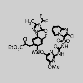 CCOC(=O)C(Cl)Cc1cc(-n2nc(C)n(C(F)F)c2=O)c(F)cc1Cl.COc1cc(OC)nc(NC(=O)NS(=O)(=O)c2c(Cl)nc3ccccn23)n1